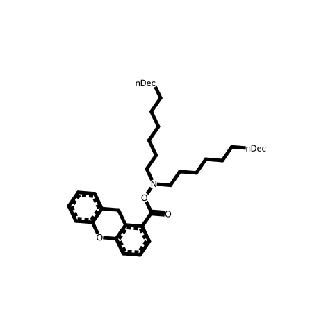 CCCCCCCCCCCCCCCCN(CCCCCCCCCCCCCCCC)OC(=O)c1cccc2c1Cc1ccccc1O2